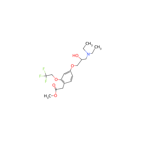 CCN(CC)CC(O)COc1ccc(CC(=O)OC)c(OCC(F)(F)F)c1